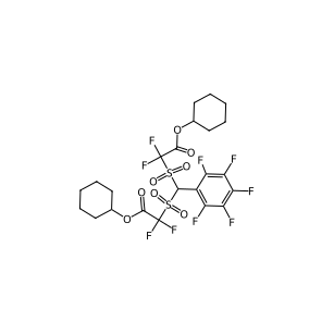 O=C(OC1CCCCC1)C(F)(F)S(=O)(=O)C(c1c(F)c(F)c(F)c(F)c1F)S(=O)(=O)C(F)(F)C(=O)OC1CCCCC1